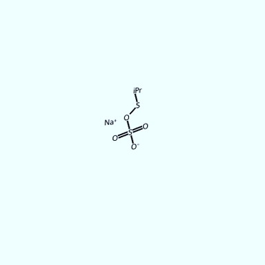 CC(C)SOS(=O)(=O)[O-].[Na+]